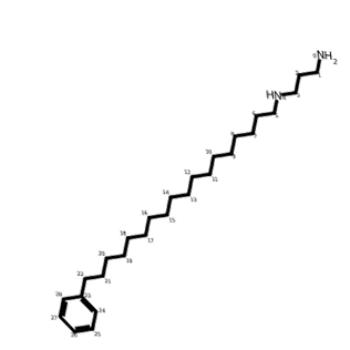 NCCCNCCCCCCCCCCCCCCCCCCc1ccccc1